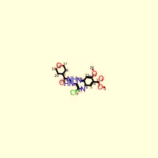 COC(=O)c1cc2nc(Cl)c(NNC(=O)C3CCOCC3)nc2cc1OC